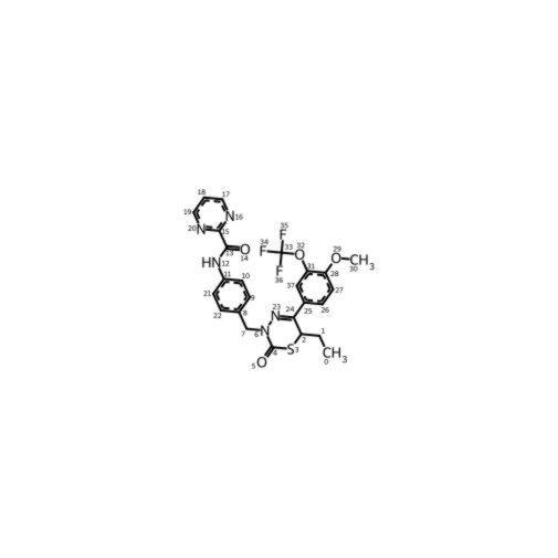 CCC1SC(=O)N(Cc2ccc(NC(=O)c3ncccn3)cc2)N=C1c1ccc(OC)c(OC(F)(F)F)c1